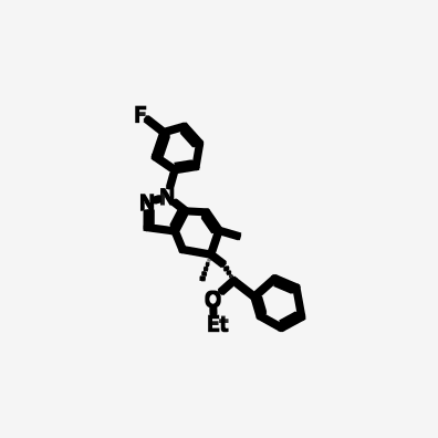 CCO[C@H](C[C@@]1(C)Cc2cnn(-c3cccc(F)c3)c2C=C1C)c1ccccc1